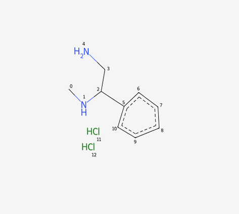 CNC(CN)c1ccccc1.Cl.Cl